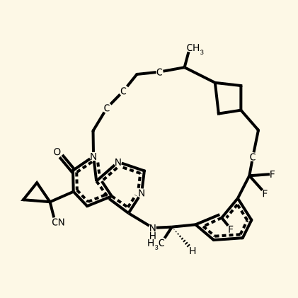 CC1CCCCCn2c(=O)c(C3(C#N)CC3)cc3c(ncnc32)N[C@H](C)c2cccc(c2F)C(F)(F)CCC2CC1C2